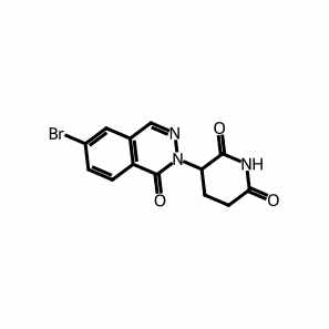 O=C1CCC(n2ncc3cc(Br)ccc3c2=O)C(=O)N1